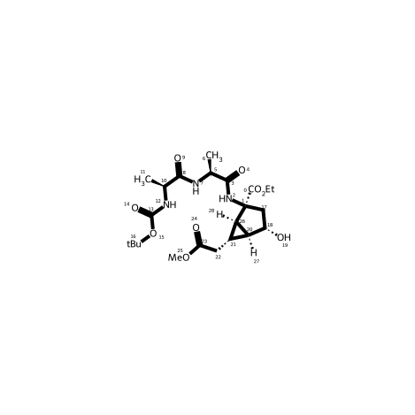 CCOC(=O)[C@]1(NC(=O)[C@H](C)NC(=O)[C@H](C)NC(=O)OC(C)(C)C)C[C@H](O)[C@H]2[C@H](CC(=O)OC)[C@H]21